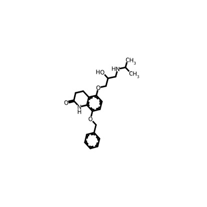 CC(C)NCC(O)COc1ccc(OCc2ccccc2)c2c1CCC(=O)N2